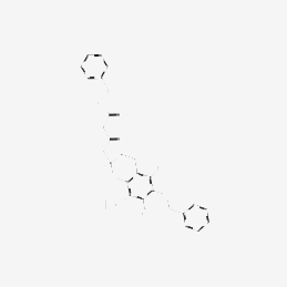 Cc1c(C)c2c(c(C)c1OCc1ccccc1)CC[C@@](C)(CC(=O)CC(=O)OCc1ccccc1)O2